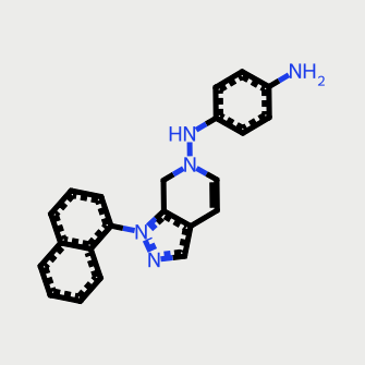 Nc1ccc(NN2C=Cc3cnn(-c4cccc5ccccc45)c3C2)cc1